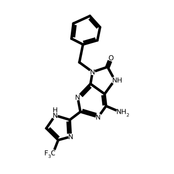 Nc1nc(-c2nc(C(F)(F)F)c[nH]2)nc2c1[nH]c(=O)n2Cc1ccccc1